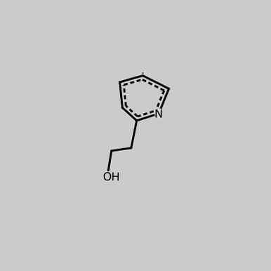 OCCc1cc[c]cn1